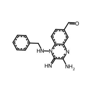 N=c1c(N)nc2cc(C=O)ccc2n1NCc1ccccc1